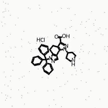 Cl.O=C(O)c1nn(C2CCNCC2)c2c1CCc1c-2cnn1C(c1ccccc1)(c1ccccc1)c1ccccc1